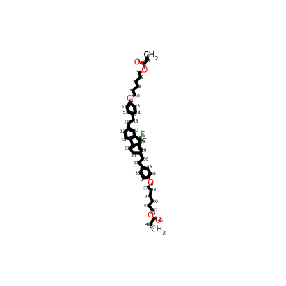 C=CC(=O)OCCCCCCOc1ccc(CCc2ccc3c(c2)C(F)(F)c2cc(CCc4ccc(OCCCCCCOC(=O)C=C)cc4)ccc2-3)cc1